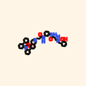 O=C(CCNCc1ccccc1O)Nc1cccc(NC(=O)CCN2CCC(OC(=O)N(c3ccccc3-c3ccccc3)c3ccccc3-c3ccccc3)CC2)c1